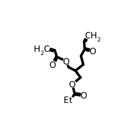 C=CC(=O)CCC(COC(=O)C=C)COC(=O)CC